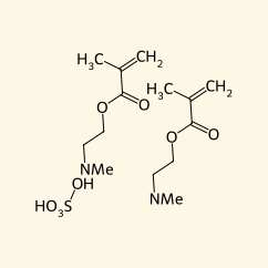 C=C(C)C(=O)OCCNC.C=C(C)C(=O)OCCNC.O=S(=O)(O)O